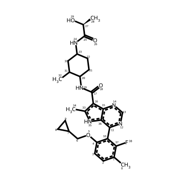 Cc1ccc(OCC2CC2)c(-c2ncnc3c(C(=O)NC4CCC(NC(=O)[C@H](C)O)CC4C)c(C)[nH]c23)c1F